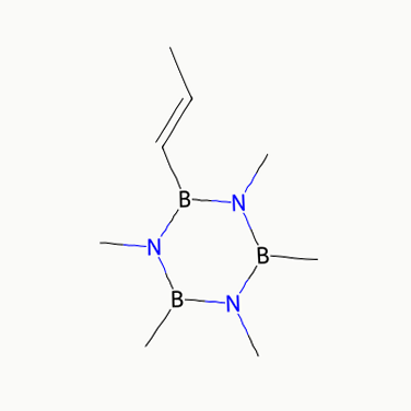 CC=CB1N(C)B(C)N(C)B(C)N1C